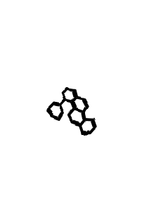 C1=c2ccc3c(c2C(c2ccccc2)CC1)CC=c1ccccc1=3